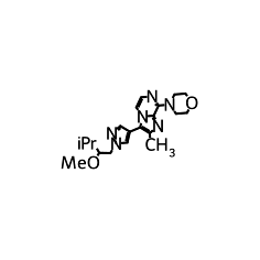 COC(Cn1cc(-c2c(C)nc3c(N4CCOCC4)nccn23)cn1)C(C)C